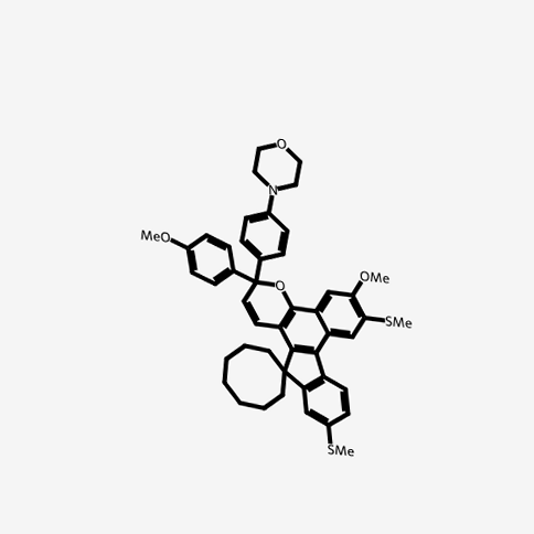 COc1ccc(C2(c3ccc(N4CCOCC4)cc3)C=Cc3c4c(c5cc(SC)c(OC)cc5c3O2)-c2ccc(SC)cc2C42CCCCCCC2)cc1